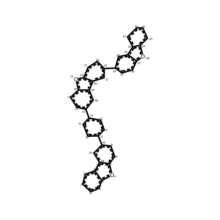 c1ccc2c(c1)oc1ccc(-c3ccc(-c4ccc5oc6ccc(-c7ccc8oc9ccccc9c8c7)cc6c5c4)cc3)cc12